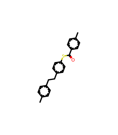 Cc1ccc(CCc2ccc(SC(=O)c3ccc(C)cc3)cc2)cc1